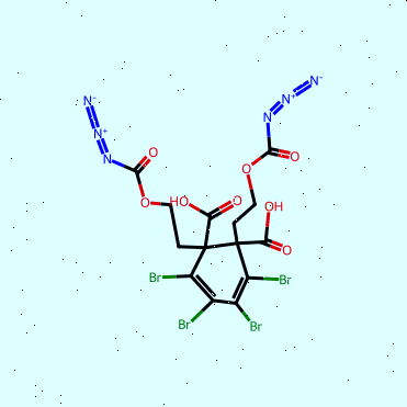 [N-]=[N+]=NC(=O)OCCC1(C(=O)O)C(Br)=C(Br)C(Br)=C(Br)C1(CCOC(=O)N=[N+]=[N-])C(=O)O